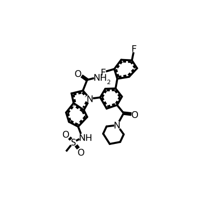 CS(=O)(=O)Nc1ccc2cc(C(N)=O)n(-c3cc(C(=O)N4CCCCC4)cc(-c4ccc(F)cc4F)c3)c2c1